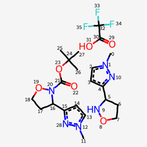 Cn1ccc(C2CCON2)n1.Cn1ccc(C2CCON2C(=O)OC(C)(C)C)n1.O=C(O)C(F)(F)F